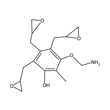 Cc1c(O)c(CC2CO2)c(CC2CO2)c(CC2CO2)c1OCN